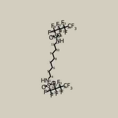 O=S(=O)(NCCCCCCCCNS(=O)(=O)C(F)(F)C(F)(F)C(F)(F)C(F)(F)F)C(F)(F)C(F)(F)C(F)(F)C(F)(F)F